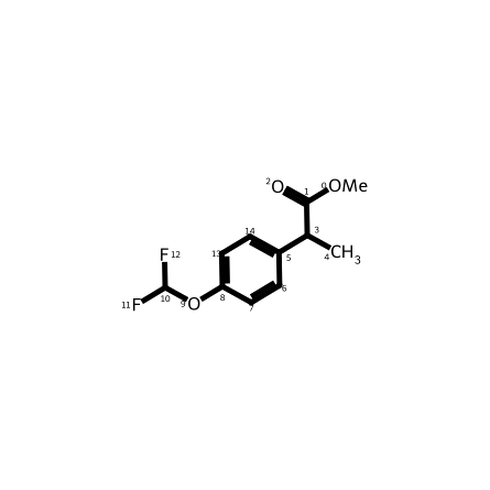 COC(=O)C(C)c1ccc(OC(F)F)cc1